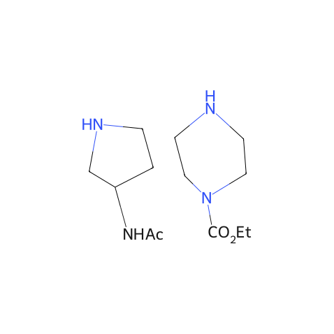 CC(=O)NC1CCNC1.CCOC(=O)N1CCNCC1